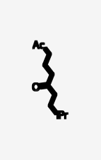 CC(=O)CCCC(=O)CCC(C)C